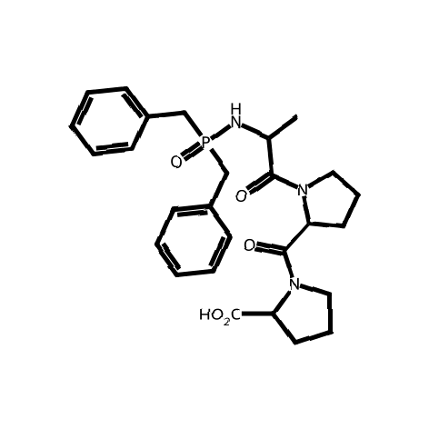 CC(NP(=O)(Cc1ccccc1)Cc1ccccc1)C(=O)N1CCCC1C(=O)N1CCCC1C(=O)O